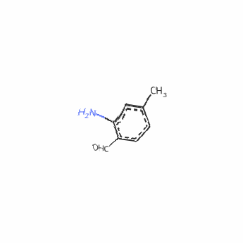 Cc1ccc(C=O)c(N)c1